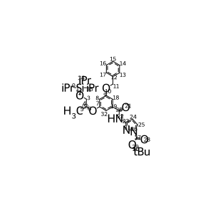 CC(C)[Si](OC[C@H](C)Oc1cc(OCc2ccccc2)cc(C(=O)Nc2ccn(C(=O)OC(C)(C)C)n2)c1)(C(C)C)C(C)C